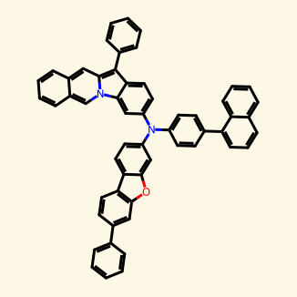 c1ccc(-c2ccc3c(c2)oc2cc(N(c4ccc(-c5cccc6ccccc56)cc4)c4ccc5c(-c6ccccc6)c6cc7ccccc7cn6c5c4)ccc23)cc1